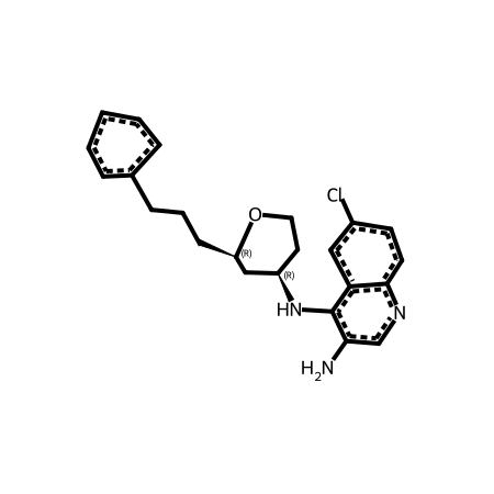 Nc1cnc2ccc(Cl)cc2c1N[C@@H]1CCO[C@H](CCCc2ccccc2)C1